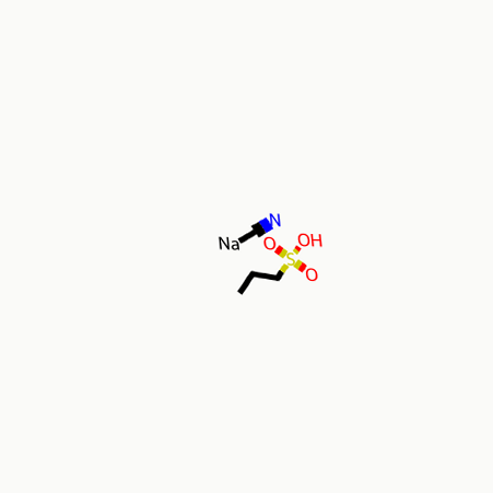 CCCS(=O)(=O)O.N#[C][Na]